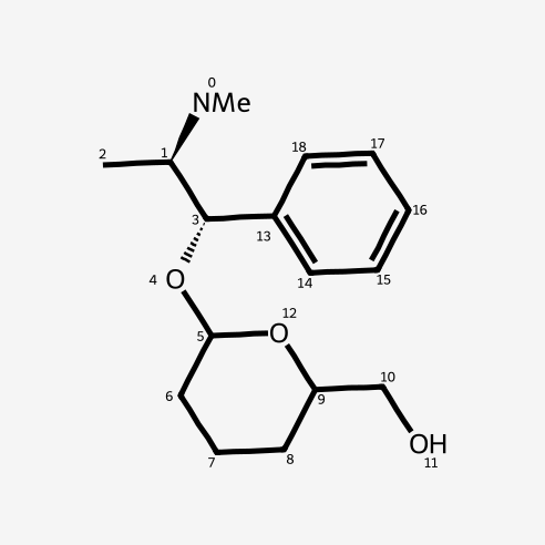 CN[C@H](C)[C@@H](OC1CCCC(CO)O1)c1ccccc1